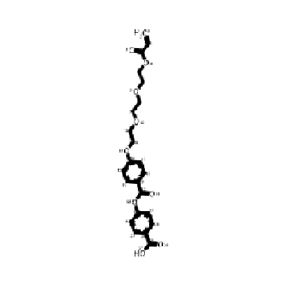 C=CC(=O)OCCOCCOCCOc1ccc(C(=O)Oc2ccc(C(=O)O)cc2)cc1